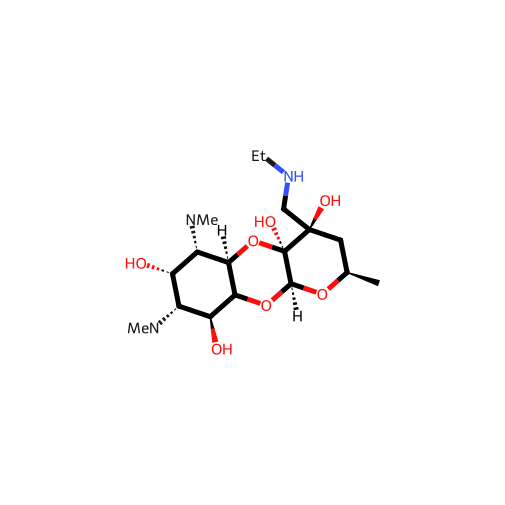 CCNC[C@]1(O)C[C@@H](C)O[C@H]2OC3[C@@H](O)[C@H](NC)[C@H](O)[C@H](NC)[C@H]3O[C@]21O